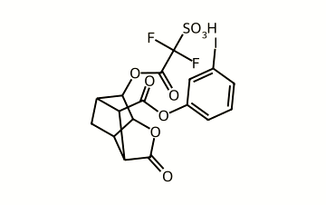 O=C1OC2C3CC(C2OC(=O)C(F)(F)S(=O)(=O)O)C(C(=O)Oc2cccc(I)c2)C13